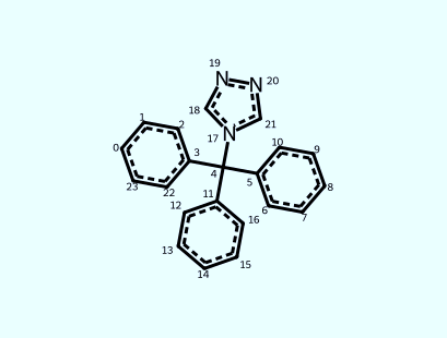 c1ccc(C(c2ccccc2)(c2ccccc2)n2cnnc2)cc1